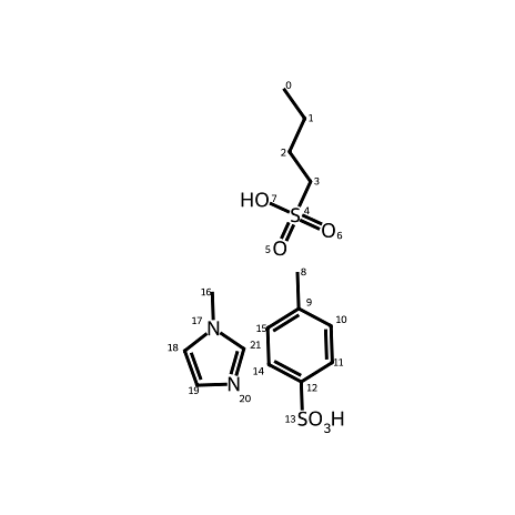 CCCCS(=O)(=O)O.Cc1ccc(S(=O)(=O)O)cc1.Cn1ccnc1